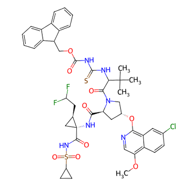 COc1cnc(O[C@@H]2C[C@@H](C(=O)N[C@]3(C(=O)NS(=O)(=O)C4CC4)C[C@H]3CC(F)F)N(C(=O)C(NC(=S)NC(=O)OCC3c4ccccc4-c4ccccc43)C(C)(C)C)C2)c2cc(Cl)ccc12